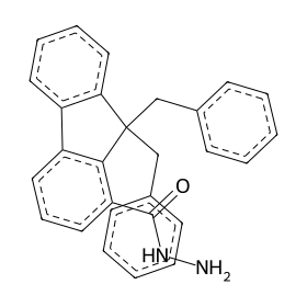 NNC(=O)c1cccc2c1C(Cc1ccccc1)(Cc1ccccc1)c1ccccc1-2